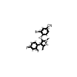 Cc1nn(C)c(Oc2ccc(C#N)cc2Br)c1-c1ccc(F)cc1F